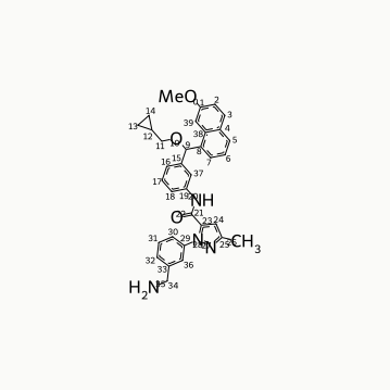 COc1ccc2cccc(C(OCC3CC3)c3cccc(NC(=O)c4cc(C)nn4-c4cccc(CN)c4)c3)c2c1